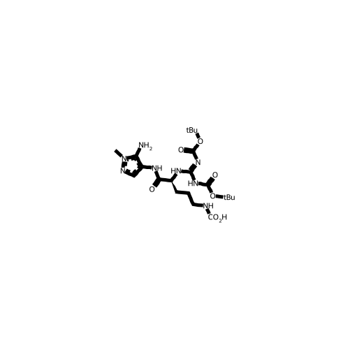 Cn1ncc(NC(=O)[C@H](CCCNC(=O)O)N/C(=N\C(=O)OC(C)(C)C)NC(=O)OC(C)(C)C)c1N